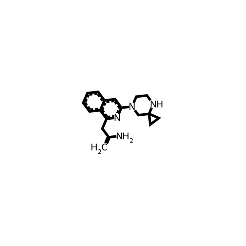 C=C(N)Cc1nc(N2CCNC3(CC3)C2)cc2ccccc12